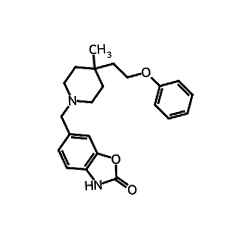 CC1(CCOc2ccccc2)CCN(Cc2ccc3[nH]c(=O)oc3c2)CC1